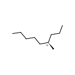 CC[CH]CC[C@H](C)CCC